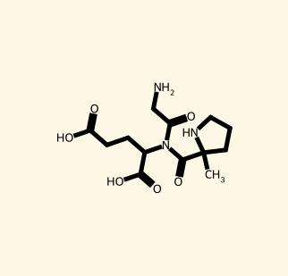 CC1(C(=O)N(C(=O)CN)C(CCC(=O)O)C(=O)O)CCCN1